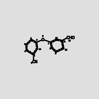 N#Cc1cccc(Oc2cccc(C=O)c2)c1